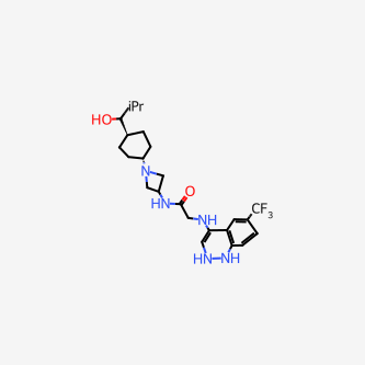 CC(C)C(O)[C@H]1CC[C@H](N2CC(NC(=O)CNC3=CNNc4ccc(C(F)(F)F)cc43)C2)CC1